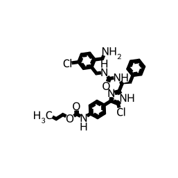 CCCOC(=O)Nc1ccc(-c2nc([C@H](Cc3ccccc3)NC(=O)NCc3cc(Cl)ccc3CN)[nH]c2Cl)cc1